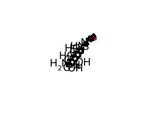 C[C@H]1c2ccc(Nc3nc(C4(C)CC5CC6CC(C6)(C5)C4)cs3)c(O)c2C(=O)C2=C(O)C3C(=O)C(C(N)=O)=C(O)[C@@H](N(C)C)C3[C@@H](O)C21